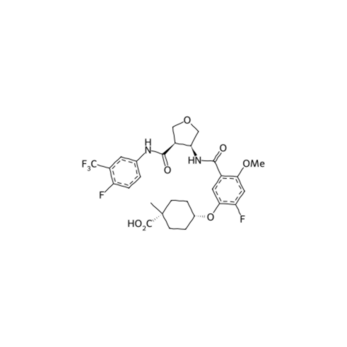 COc1cc(F)c(O[C@H]2CC[C@@](C)(C(=O)O)CC2)cc1C(=O)N[C@@H]1COC[C@@H]1C(=O)Nc1ccc(F)c(C(F)(F)F)c1